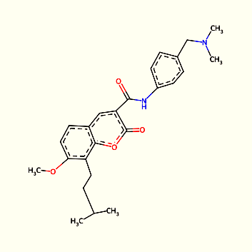 COc1ccc2cc(C(=O)Nc3ccc(CN(C)C)cc3)c(=O)oc2c1CCC(C)C